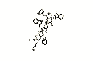 NCCCC[C@H](NC(=O)[C@@H](Cc1ccccc1)NC(=O)[C@H](Cc1c[nH]c2ccccc12)N1C[C@@H](NC(=O)[C@@H](Cc2c[nH]c3ccccc23)NC(=O)[C@@H](N)Cc2cnc[nH]2)CC1=O)C(N)=O